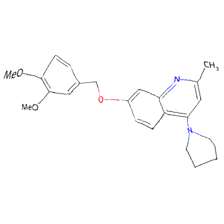 COc1ccc(COc2ccc3c(N4CCCC4)cc(C)nc3c2)cc1OC